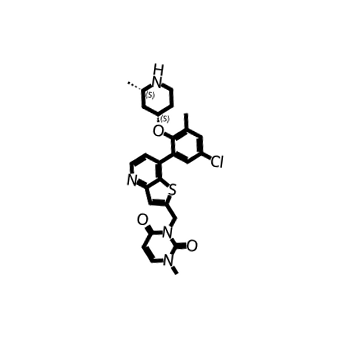 Cc1cc(Cl)cc(-c2ccnc3cc(Cn4c(=O)ccn(C)c4=O)sc23)c1O[C@H]1CCN[C@@H](C)C1